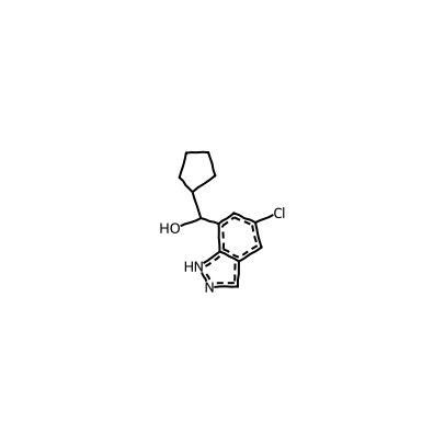 OC(c1cc(Cl)cc2cn[nH]c12)C1CCCC1